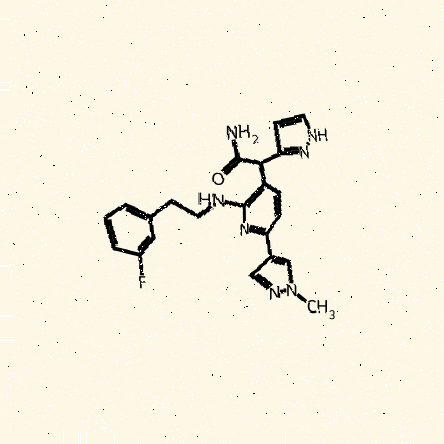 Cn1cc(-c2ccc(C(C(N)=O)c3cc[nH]n3)c(NCCc3cccc(F)c3)n2)cn1